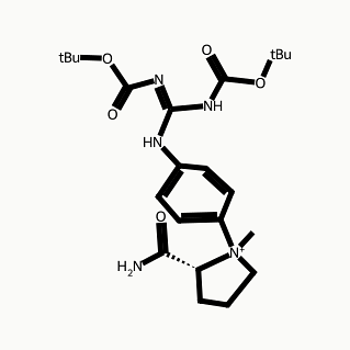 CC(C)(C)OC(=O)/N=C(/NC(=O)OC(C)(C)C)Nc1ccc([N+]2(C)CCC[C@@H]2C(N)=O)cc1